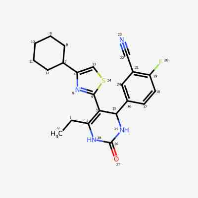 CCC1=C(c2nc(C3CCCCC3)cs2)C(c2ccc(F)c(C#N)c2)NC(=O)N1